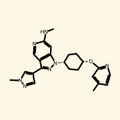 CNc1cc2c(cn1)c(-c1cnn(C)c1)nn2[C@H]1CC[C@@H](Oc2cc(C)ccn2)CC1